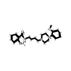 COc1ccccc1N1CCN(CCCCNC(=O)c2ccccc2N)CC1